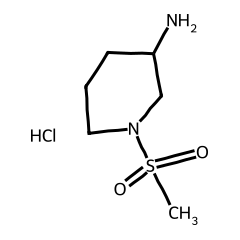 CS(=O)(=O)N1CCCC(N)C1.Cl